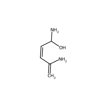 C=C(N)/C=C\C(N)O